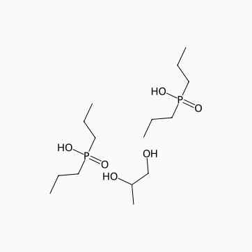 CC(O)CO.CCCP(=O)(O)CCC.CCCP(=O)(O)CCC